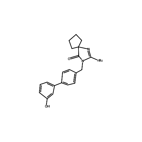 CCCCC1=NC2(CCCC2)C(=O)N1Cc1ccc(-c2cccc(O)c2)cc1